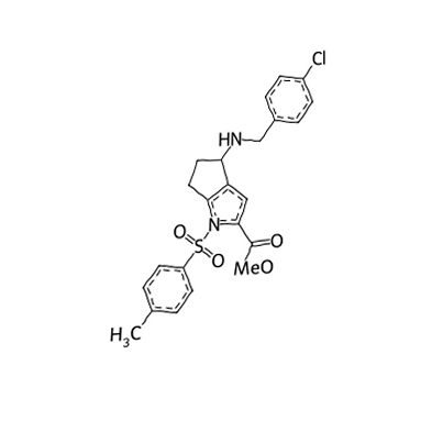 COC(=O)c1cc2c(n1S(=O)(=O)c1ccc(C)cc1)CCC2NCc1ccc(Cl)cc1